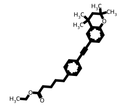 CCOC(=O)CCCCc1ccc(C#Cc2ccc3c(c2)C(C)(C)CC(C)(C)O3)cc1